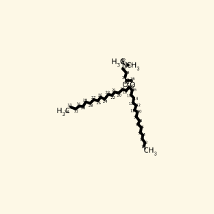 CCCCCCCCCCCCCCCCCC1(CCCCCCCCCCCCCCCCC)OC[C@H](CCCN(C)C)O1